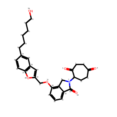 O=C1CCC(=O)C(N2Cc3c(OCc4cc5cc(CCCCCCO)ccc5o4)cccc3C2=O)CC1